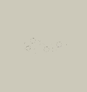 O=C(Nc1cccc(-n2c(C(=S)S)nnc2C(=S)S)c1)Nc1cccc(S(=O)(=O)Nc2cc(O)ccc2O)c1